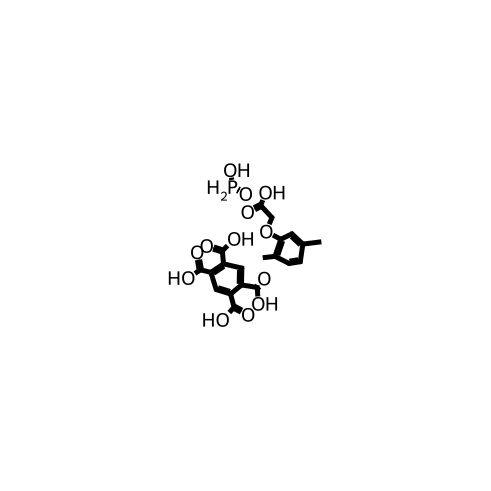 Cc1ccc(C)c(OCC(=O)O)c1.O=C(O)c1cc(C(=O)O)c(C(=O)O)cc1C(=O)O.O=[PH2]O